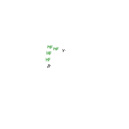 F.F.F.F.[Y].[Zr]